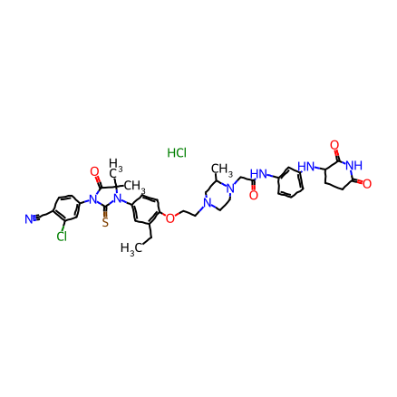 CCc1cc(N2C(=S)N(c3ccc(C#N)c(Cl)c3)C(=O)C2(C)C)ccc1OCCN1CCN(CC(=O)Nc2cccc(NC3CCC(=O)NC3=O)c2)C(C)C1.Cl